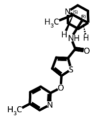 Cc1ccc(Oc2ccc(C(=O)N[C@@H]3C4CCN(CC4)[C@H]3C)s2)nc1